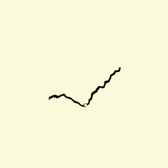 CCCCCCCCC=C=CCCCCCCCCCCCCC